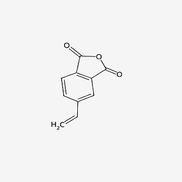 C=Cc1ccc2c(c1)C(=O)OC2=O